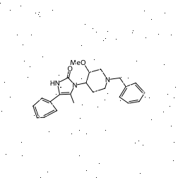 COC1CN(Cc2ccccc2)CCC1n1c(C)c(-c2ccccc2)[nH]c1=O